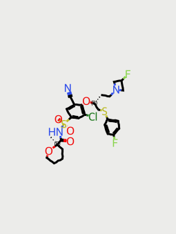 C[C@]1(C(=O)NS(=O)(=O)c2cc(Cl)c(O[C@H](CCN3CC(F)C3)CSc3ccc(F)cc3)c(C#N)c2)CCCCO1